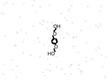 OCCOCc1ccc(OCCO)cc1